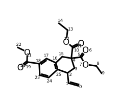 C=CC1CC(C(=O)OCC)(C(=O)OCC)Cc2cc(C(=O)OC)ccc21